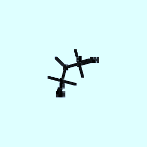 CN([SH](C)(C)=N)[SH](C)(C)=N